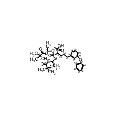 CC(OC(=O)C(C)(C)C)OP(=O)(OC(C)OC(=O)C(C)(C)C)C(CCCc1cccc(Oc2ccccc2)c1)S(=O)(=O)O